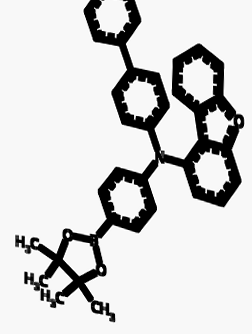 CC1(C)OB(c2ccc(N(c3ccc(-c4ccccc4)cc3)c3cccc4oc5ccccc5c34)cc2)OC1(C)C